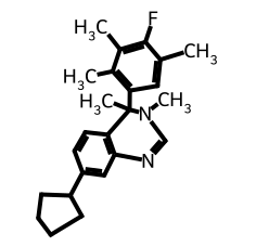 Cc1cc(C2(C)c3ccc(C4CCCC4)cc3N=CN2C)c(C)c(C)c1F